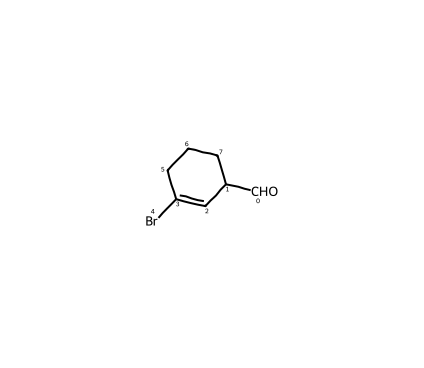 O=CC1C=C(Br)CCC1